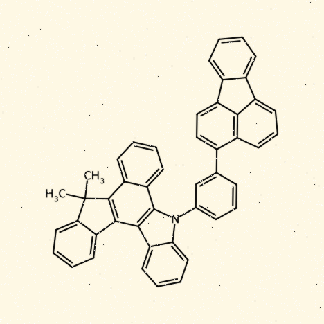 CC1(C)c2ccccc2-c2c1c1ccccc1c1c2c2ccccc2n1-c1cccc(-c2ccc3c4c(cccc24)-c2ccccc2-3)c1